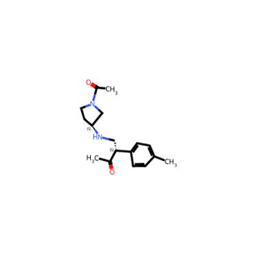 CC(=O)[C@H](CN[C@H]1CCN(C(C)=O)C1)c1ccc(C)cc1